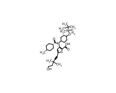 CC(C)(C#Cc1cc(N(C(=O)[C@H]2CC[C@H](C)CC2)C2CCC(O[Si](C)(C)C(C)(C)C)CC2)c(C(=O)O)s1)CCO